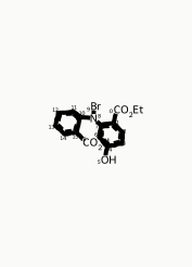 CCOC(=O)c1ccc(O)cc1N(Br)c1ccccc1C(=O)O